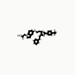 O=C(O)Cn1ccc2cc(OCCc3sc(-c4ccc(C(F)(F)F)cc4)nc3CCc3ccccc3)ccc21